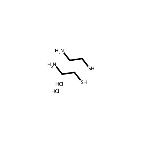 Cl.Cl.NCCS.NCCS